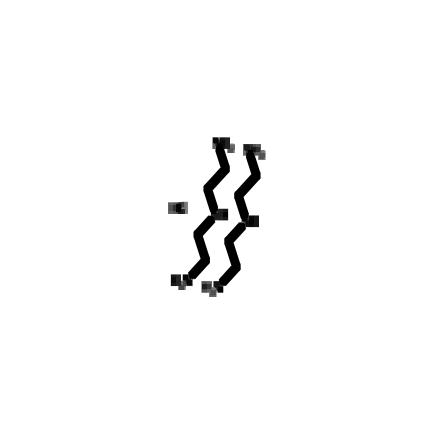 Cl.NCCNCCN.NCCNCCN